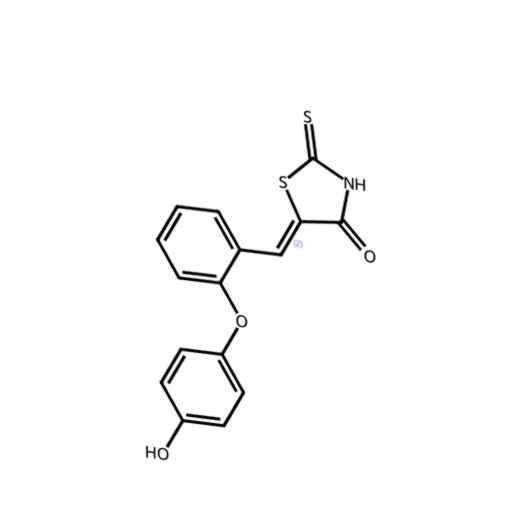 O=C1NC(=S)S/C1=C\c1ccccc1Oc1ccc(O)cc1